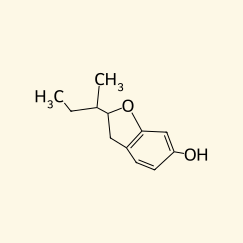 CCC(C)C1Cc2ccc(O)cc2O1